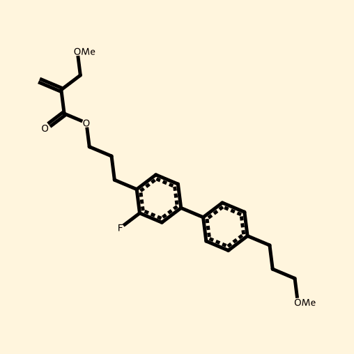 C=C(COC)C(=O)OCCCc1ccc(-c2ccc(CCCOC)cc2)cc1F